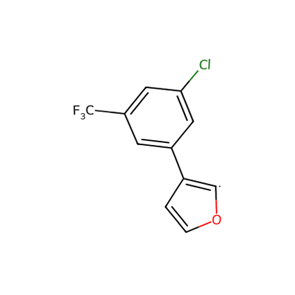 FC(F)(F)c1cc(Cl)cc(-c2[c]occ2)c1